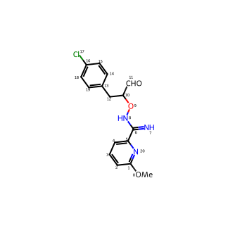 COc1cccc(C(=N)NOC(C=O)Cc2ccc(Cl)cc2)n1